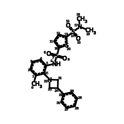 Cc1cccc(NS(=O)(=O)c2ccc(S(=O)(=O)N(C)C)s2)c1N1CC(c2ccccc2)C1